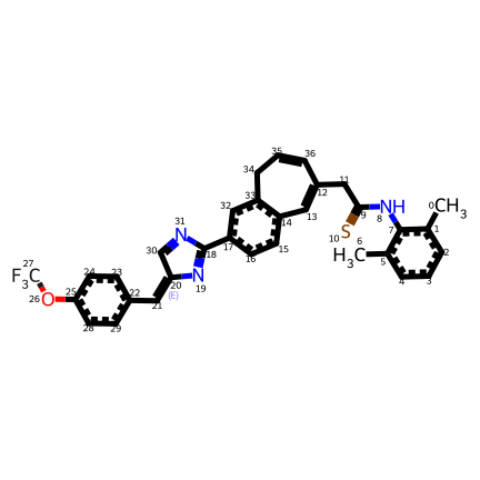 Cc1cccc(C)c1NC(=S)CC1=Cc2ccc(C3=N/C(=C/c4ccc(OC(F)(F)F)cc4)C=N3)cc2CC=C1